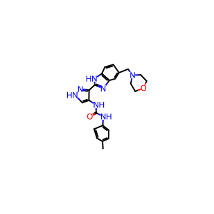 Cc1ccc(NC(=O)Nc2c[nH]nc2-c2nc3cc(CN4CCOCC4)ccc3[nH]2)cc1